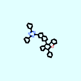 c1ccc(-c2nc(-c3ccccc3)nc(-c3ccc4ccc(-c5c6ccccc6c(-c6ccccc6)c6oc7ccccc7c56)cc4c3)n2)cc1